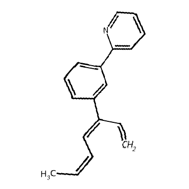 C=C/C(=C\C=C/C)c1cccc(-c2ccccn2)c1